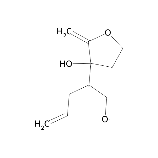 C=CC[C](C[O])C1(O)CCOC1=C